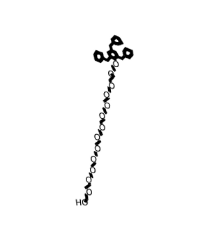 OCCOCCOCCOCCOCCOCCOCCOCCOCCOCCOCCOCCOCCOc1c(Cc2ccccc2)cc(Cc2ccccc2)cc1Cc1ccccc1